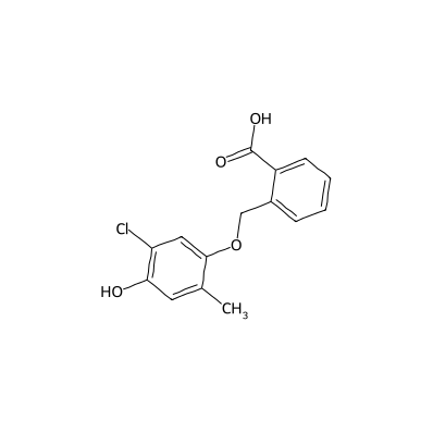 Cc1cc(O)c(Cl)cc1OCc1ccccc1C(=O)O